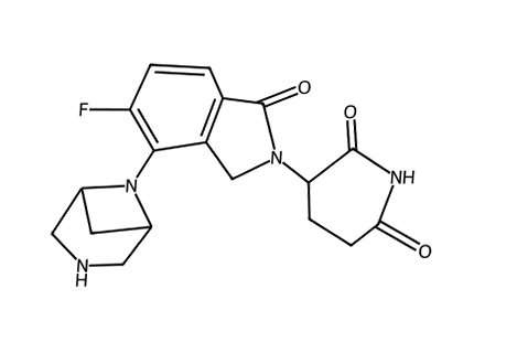 O=C1CCC(N2Cc3c(ccc(F)c3N3C4CNCC3C4)C2=O)C(=O)N1